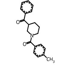 Cc1ccc(C(=O)N2CCCC(C(=O)c3ccccc3)C2)cc1